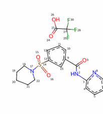 O=C(Nc1ccccn1)c1cccc(S(=O)(=O)N2CCCCC2)c1.O=C(O)C(F)(F)F